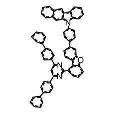 c1ccc(-c2ccc(-c3cc(-c4ccc(-c5ccccc5)cc4)nc(-c4cccc5oc6cc(-c7ccc(-n8c9ccccc9c9cc%10ccccc%10cc98)cc7)ccc6c45)n3)cc2)cc1